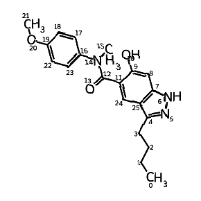 CCCCc1n[nH]c2cc(O)c(C(=O)N(C)c3ccc(OC)cc3)cc12